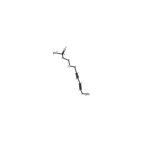 CC(C)CC#CC#CCOCCC(=O)C(C)C